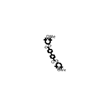 CON1C(C)(C)CCC(OC(=O)c2ccc(-c3ccc(C(=O)OC4CCC(C)(C)N(OC)C(C)(C)C4)cc3)cc2)CC1(C)C